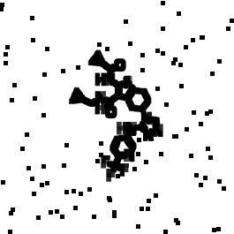 O=C(NCC1CC1)c1c(NC(=O)C2CC2)sc2c1C[C@@H](n1cnnc1Nc1ccc(C(F)(F)F)nc1)CC2